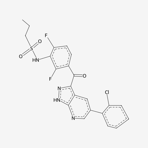 CCCS(=O)(=O)Nc1c(F)ccc(C(=O)c2n[nH]c3ncc(-c4ccccc4Cl)cc23)c1F